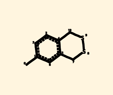 Cc1ccc2c(c1)CSSC2